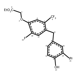 CCOC(=O)COc1cc(C(F)(F)F)c(Cc2ccc(O)c(C(C)C)c2)cc1F